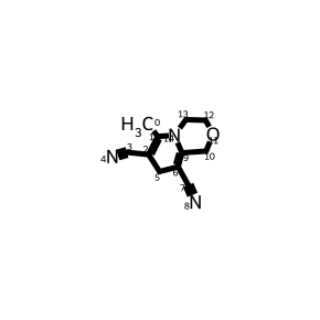 CC1=C(C#N)CC(C#N)=C2COCCN12